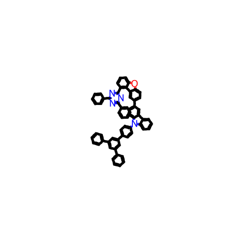 c1ccc(-c2cc(-c3ccccc3)cc(-c3ccc(-n4c5ccccc5c5cc(-c6ccc7oc8cccc(-c9nc(-c%10ccccc%10)nc(-c%10ccccc%10)n9)c8c7c6)ccc54)cc3)c2)cc1